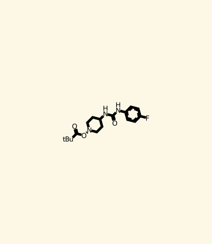 CC(C)(C)C(=O)ON1CCC(NC(=O)Nc2ccc(F)cc2)CC1